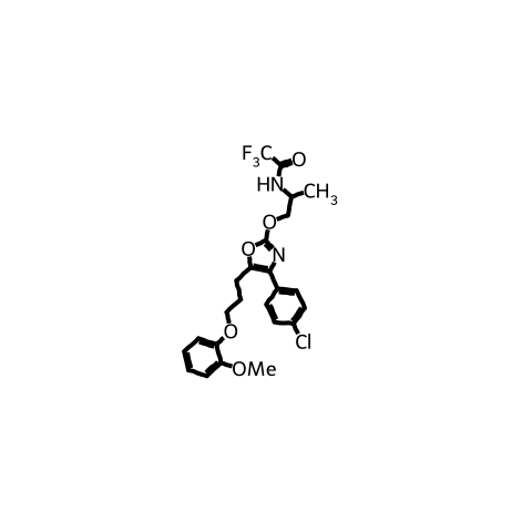 COc1ccccc1OCCCc1oc(OCC(C)NC(=O)C(F)(F)F)nc1-c1ccc(Cl)cc1